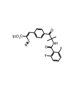 CCOC(=O)/C(=C/c1ccc(C(=O)C(C)(C)NC(=O)c2c(F)cccc2F)cc1)S#N